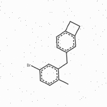 Cc1ccc(Br)cc1Cc1ccc2c(c1)CC2